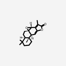 CC1=C2C(=C[C@H]3[C@]4(C)CCCC(C)(C)[C@H]4CC[C@]34O[C@H]24)OC1=O